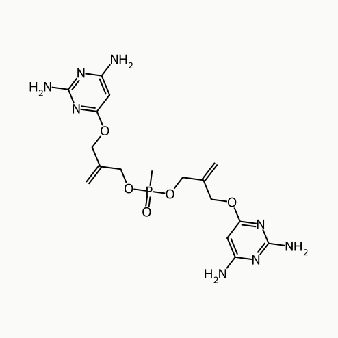 C=C(COc1cc(N)nc(N)n1)COP(C)(=O)OCC(=C)COc1cc(N)nc(N)n1